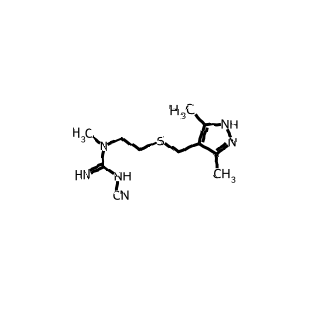 Cc1n[nH]c(C)c1CSCCN(C)C(=N)NC#N